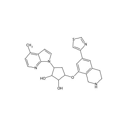 Cc1ccnc2c1ccn2C1CC(Oc2cc(-c3cscn3)cc3c2CNCC3)C(O)C1O